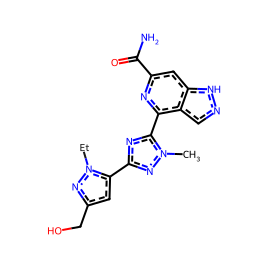 CCn1nc(CO)cc1-c1nc(-c2nc(C(N)=O)cc3[nH]ncc23)n(C)n1